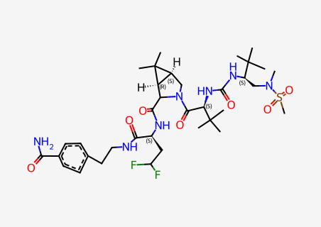 CN(C[C@@H](NC(=O)N[C@H](C(=O)N1C[C@H]2[C@@H](C1C(=O)N[C@@H](CC(F)F)C(=O)NCCc1ccc(C(N)=O)cc1)C2(C)C)C(C)(C)C)C(C)(C)C)S(C)(=O)=O